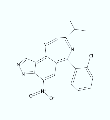 CC(C)c1cnc2c(cc([N+](=O)[O-])c3nncc32)c(-c2ccccc2Cl)n1